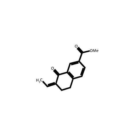 CC=C1CCc2ccc(C(=O)OC)cc2C1=O